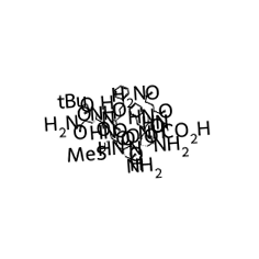 CSCC[C@H](NC(=O)[C@H](COCc1ccccc1)NC(=O)[C@H](CCC(N)=O)NC(=O)OC(C)(C)C)C(=O)N[C@@H](CC(N)=O)C(=O)N[C@@H](CC(N)=O)C(=O)N[C@@H](Cc1ccccc1)C(=O)N[C@@H](CCC(N)=O)C(=O)NCC(=O)O